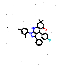 Cc1ccc(-n2nc(-c3ccccc3)c3c2NC2=C(C(=O)CC(C)(C)C2)C3c2ccc(F)cc2)c(C)c1